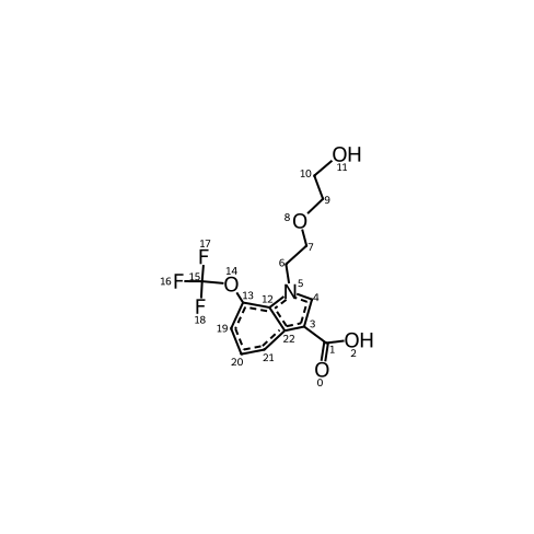 O=C(O)c1cn(CCOCCO)c2c(OC(F)(F)F)cccc12